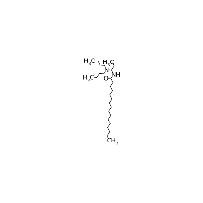 CCCCCCCCCCCCCCCC(=O)NC(CC)N(CCCC)CCCC